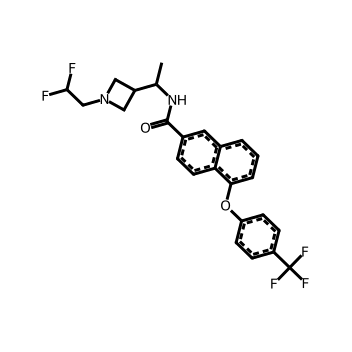 CC(NC(=O)c1ccc2c(Oc3ccc(C(F)(F)F)cc3)cccc2c1)C1CN(CC(F)F)C1